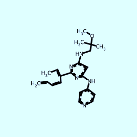 C=C/C=C\C(=C/C)c1nc(NCC(C)(C)OC)cc(Nc2ccncc2)n1